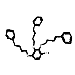 Oc1ccc(OCCCCc2ccccc2)c(OCCCCc2ccccc2)c1OCCCCc1ccccc1